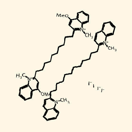 COc1cc(CCCCCCCCCCc2cc(OC)c3ccccc3[n+]2C)[n+](C)c2ccccc12.C[n+]1c(CCCCCCCCCCCCc2ccc3ccccc3[n+]2C)ccc2ccccc21.[I-].[I-].[I-].[I-]